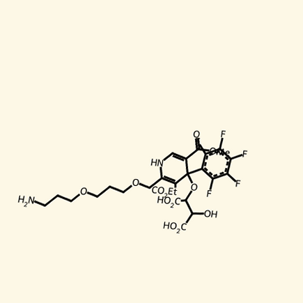 CCOC(=O)C1=C(COCCCOCCCN)NC=C(C(=O)OC)C1(OC(C(=O)O)C(O)C(=O)O)c1c(F)c(F)c(F)c(F)c1F